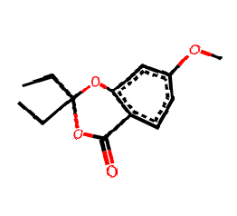 CCC1(CC)OC(=O)c2ccc(OC)cc2O1